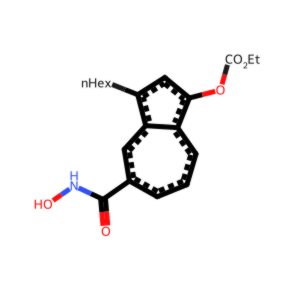 CCCCCCc1cc(OC(=O)OCC)c2cccc(C(=O)NO)cc1-2